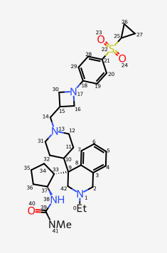 CCN1Cc2ccccc2C(C2CCN(CC3CN(c4ccc(S(=O)(=O)C5CC5)cc4)C3)CC2)([C@H]2CCC[C@@H]2NC(=O)NC)C1